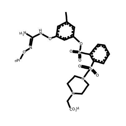 CCCON=C(N)NOc1cc(C)cc(OS(=O)(=O)c2ccccc2S(=O)(=O)N2CCN(CC(=O)O)CC2)c1